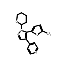 FC(F)(F)c1ccc(-c2c(-c3ccncc3)cnn2C2CCCCO2)s1